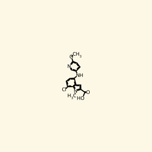 COc1ccc(Nc2ccc(Cl)c3c2cc(C(=O)O)n3C)cn1